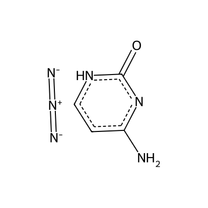 Nc1cc[nH]c(=O)n1.[N-]=[N+]=[N-]